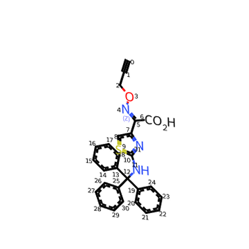 C#CCO/N=C(\C(=O)O)c1csc(NC(c2ccccc2)(c2ccccc2)c2ccccc2)n1